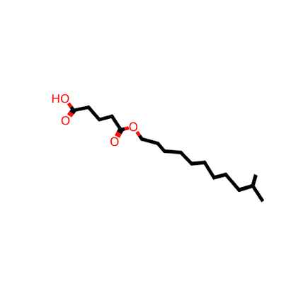 CC(C)CCCCCCCCCOC(=O)CCCC(=O)O